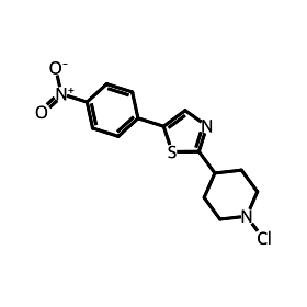 O=[N+]([O-])c1ccc(-c2cnc(C3CCN(Cl)CC3)s2)cc1